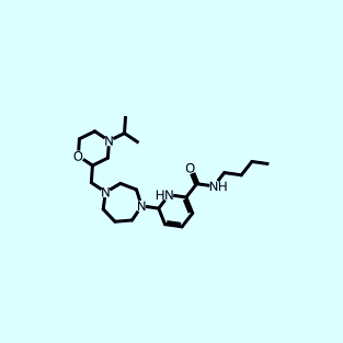 CCCCNC(=O)C1=CC=CC(N2CCCN(CC3CN(C(C)C)CCO3)CC2)N1